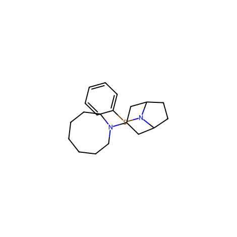 c1ccc(SN2C3CCC2CC(N2CCCCCCC2)C3)cc1